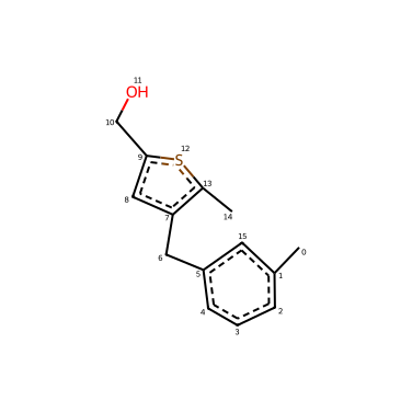 Cc1cccc(Cc2cc(CO)sc2C)c1